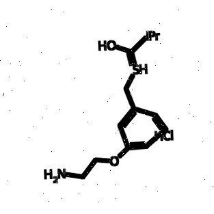 CC(C)C(O)=[SH]Cc1cccc(OCCN)c1.Cl